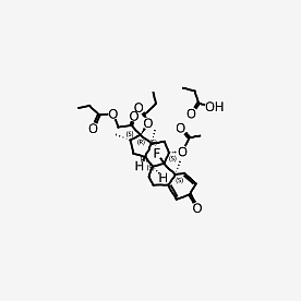 CCC(=O)O.CCC(=O)OCC(=O)[C@@]1(OC(=O)CC)[C@@H](C)C[C@H]2[C@@H]3CCC4=CC(=O)C=C[C@]4(C)C3(F)[C@@H](OC(C)=O)C[C@@]21C